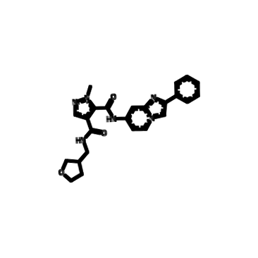 Cn1ncc(C(=O)NCC2CCOC2)c1C(=O)Nc1ccn2cc(-c3ccccc3)nc2c1